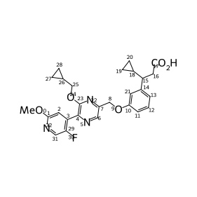 COc1cc(-c2ncc(COc3cccc(C(CC(=O)O)C4CC4)c3)nc2OCC2CC2)c(F)cn1